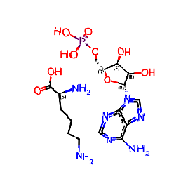 NCCCC[C@H](N)C(=O)O.Nc1ncnc2c1ncn2[C@@H]1O[C@H](COP(=O)(O)O)[C@@H](O)[C@H]1O